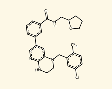 O=C(NCC1CCCO1)c1cccc(-c2cnc3c(c2)N(Cc2cc(Cl)ccc2C(F)(F)F)CCN3)c1